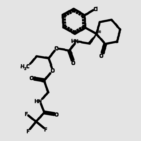 CCC(OC(=O)CNC(=O)C(F)(F)F)OC(=O)NC[C@@]1(c2ccccc2Cl)CCCCC1=O